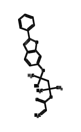 C=CC(=O)OC(C)(C)CC(C)(S)Oc1ccc2cc(-c3ccccc3)oc2c1